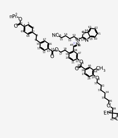 CCCOC(=O)c1ccc(CCc2ccc(C(=O)OCCc3ccc(OC(=O)c4ccc(OCCCCCCOCC5(CC)COC5)c(C)c4)cc3/C=N/N(CCCCC#N)c3nc4ccccc4s3)cc2)cc1